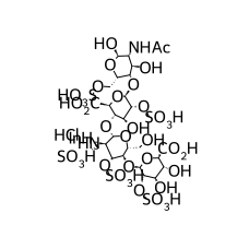 CC(=O)N[C@@H]1[C@@H](O)[C@H](O[C@@H]2O[C@H](C(=O)O)[C@@H](O[C@@H]3O[C@H](CO)[C@@H](O[C@H]4O[C@@H](C(=O)O)[C@H](O)[C@@H](O)[C@@H]4OS(=O)(=O)O)[C@H](OS(=O)(=O)O)[C@H]3NS(=O)(=O)O)[C@H](O)[C@H]2OS(=O)(=O)O)[C@H](COS(=O)(=O)O)O[C@H]1O.Cl.[InH3]